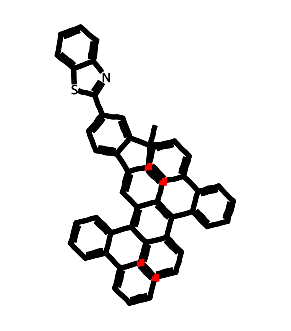 CC1(C)c2cc(-c3nc4ccccc4s3)ccc2-c2cc3c(-c4ccccc4-c4ccccc4)c4ccccc4c(-c4ccccc4-c4ccccc4)c3cc21